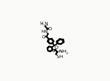 NCC(=O)NCC(=O)c1ccc(C(OC(=O)[C@H](N)CS)(c2ccccc2)c2ccccc2)cc1